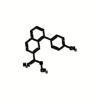 C=C(OC)c1ccc2cccc(-c3ccc(C)cc3)c2c1